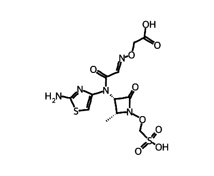 C[C@@H]1[C@H](N(C(=O)C=NOCC(=O)O)c2csc(N)n2)C(=O)N1OCS(=O)(=O)O